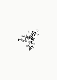 CC(=O)[O-].CC(=O)[O-].Fc1ccc([O][Zr+2][O]c2ccc(F)cc2)cc1